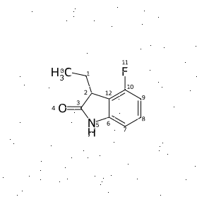 CCC1C(=O)Nc2cccc(F)c21